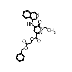 CCn1nc(C(=O)OCC(=O)OCc2ccccc2)cc(Nc2cncc3ccccc23)c1=O